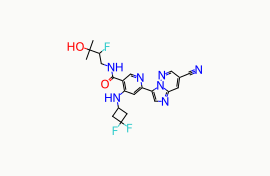 CC(C)(O)C(F)CNC(=O)c1cnc(-c2cnc3cc(C#N)cnn23)cc1NC1CC(F)(F)C1